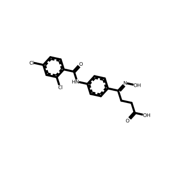 O=C(O)CCC(=NO)c1ccc(NC(=O)c2ccc(Cl)cc2Cl)cc1